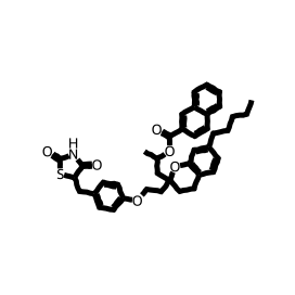 CCCCCc1ccc2c(c1)OC(CCOc1ccc(CC3SC(=O)NC3=O)cc1)(CC(C)OC(=O)c1ccc3ccccc3c1)CC2